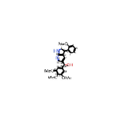 COc1ccccc1C1CNc2ncc(C(O)c3cc(OC)c(OC)c(OC)c3)cc21